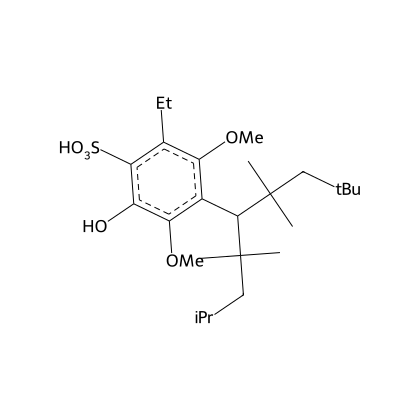 CCc1c(OC)c(C(C(C)(C)CC(C)C)C(C)(C)CC(C)(C)C)c(OC)c(O)c1S(=O)(=O)O